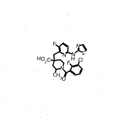 CC1CC(Cc2nc(Nc3nccs3)ccc2F)(C(=O)O)CCN1C(=O)c1cccc(Cl)c1F